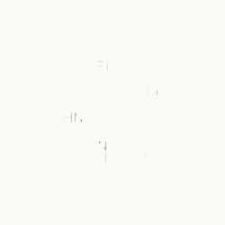 CCc1[nH][nH]c(=O)c1CC